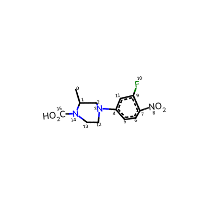 CC1CN(c2ccc([N+](=O)[O-])c(F)c2)CCN1C(=O)O